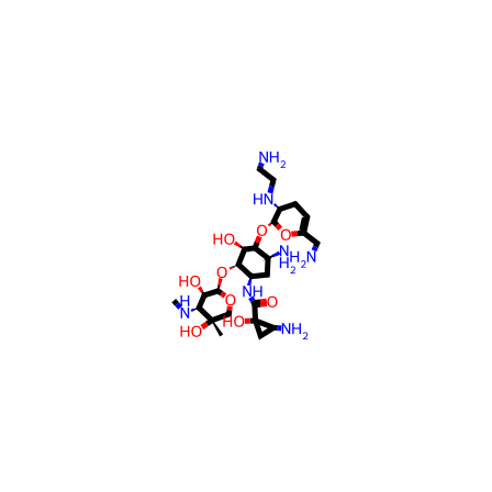 CN[C@@H]1[C@@H](O)[C@@H](O[C@H]2[C@H](NC(=O)C3(O)CC3N)C[C@H](N)C(O[C@H]3OC(CN)=CC[C@H]3NCCN)[C@@H]2O)OC[C@]1(C)O